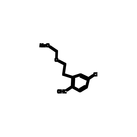 COCOCCc1cc(Cl)ccc1C=O